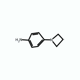 Nc1ccc(N2C[CH]C2)cc1